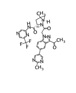 CC(=O)c1nn(CC(=O)N2[C@H](C(=O)Nc3cncc(C(F)(F)F)n3)CC3(C)C[C@@H]23)c2ccc(-c3cnc(C)nc3)cc12